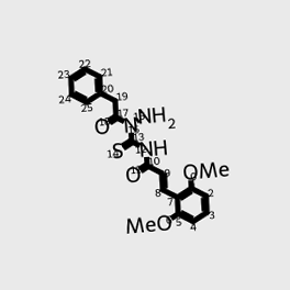 COc1cccc(OC)c1C=CC(=O)NC(=S)N(N)C(=O)Cc1ccccc1